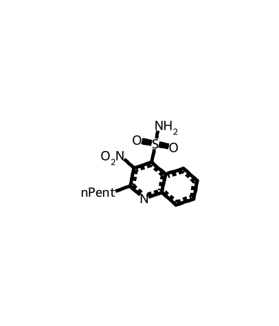 CCCCCc1nc2ccccc2c(S(N)(=O)=O)c1[N+](=O)[O-]